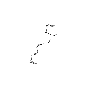 CCCCCCCCCCCCSCC(C)OCCCCCCCCCC